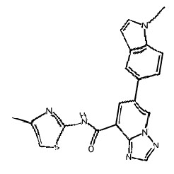 Cc1csc(NC(=O)c2cc(-c3ccc4c(ccn4C)c3)cn3ncnc23)n1